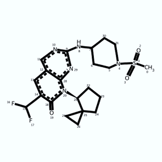 CS(=O)(=O)N1CCC(Nc2ncc3cc(C(F)F)c(=O)n([C@H]4CCCC45CC5)c3n2)CC1